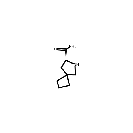 NC(=O)[C@@H]1CC2(CCC2)CN1